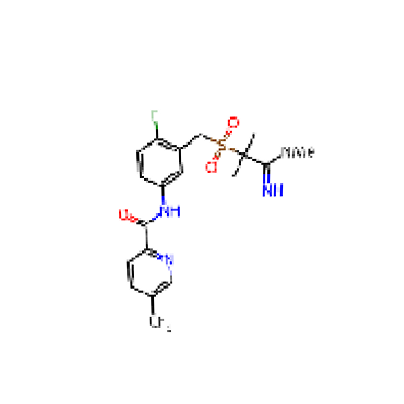 CNC(=N)C(C)(C)S(=O)(=O)Cc1cc(NC(=O)c2ccc(C(F)(F)F)cn2)ccc1F